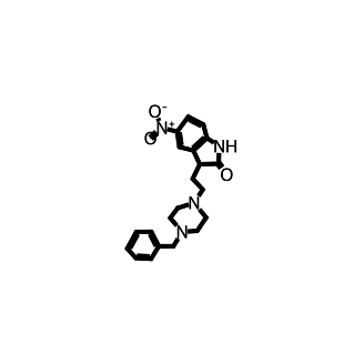 O=C1Nc2ccc([N+](=O)[O-])cc2C1CCN1CCN(Cc2ccccc2)CC1